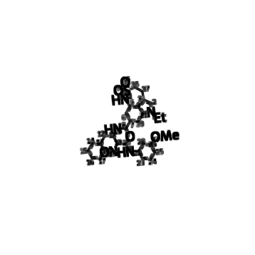 CCn1cc2c3c(cc(C(=O)NC(Cc4ccccc4)C(CNc4cccc(OC)c4)N=O)cc31)NS(=O)(=O)CC2